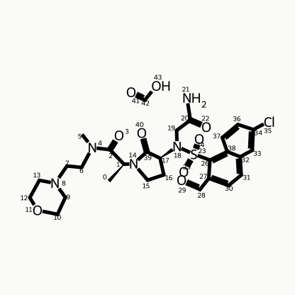 C[C@@H](C(=O)N(C)CCN1CCOCC1)N1CC[C@H](N(CC(N)=O)S(=O)(=O)c2c(C=O)ccc3cc(Cl)ccc23)C1=O.O=CO